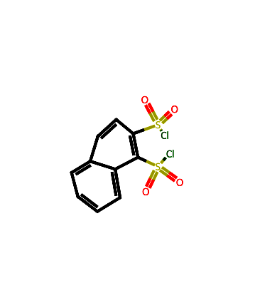 O=S(=O)(Cl)c1ccc2ccccc2c1S(=O)(=O)Cl